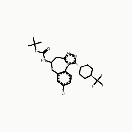 CC(C)(C)OC(=O)NC1Cc2cc(Cl)ccc2-n2c(nnc2[C@H]2CC[C@H](C(F)(F)F)CC2)C1